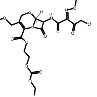 CCOC(=O)OCCOC(=O)C1=C(COC)CS[C@H]2C(NC(=O)C(=NOC)C(=O)CCl)C(=O)N12